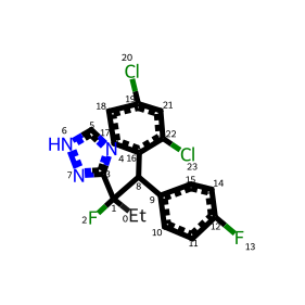 CCC(F)(c1nc[nH]n1)C(c1ccc(F)cc1)c1ccc(Cl)cc1Cl